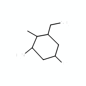 CC(C)C1CC(N)C(C)C(CN)C1